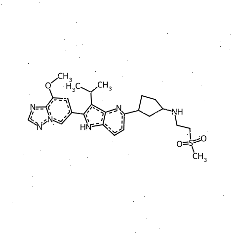 COc1cc(-c2[nH]c3ccc(C4CCC(NCCS(C)(=O)=O)C4)nc3c2C(C)C)cn2ncnc12